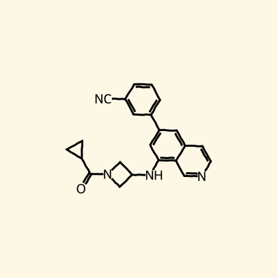 N#Cc1cccc(-c2cc(NC3CN(C(=O)C4CC4)C3)c3cnccc3c2)c1